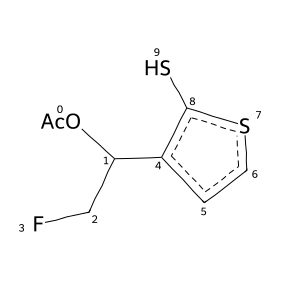 CC(=O)OC(CF)c1ccsc1S